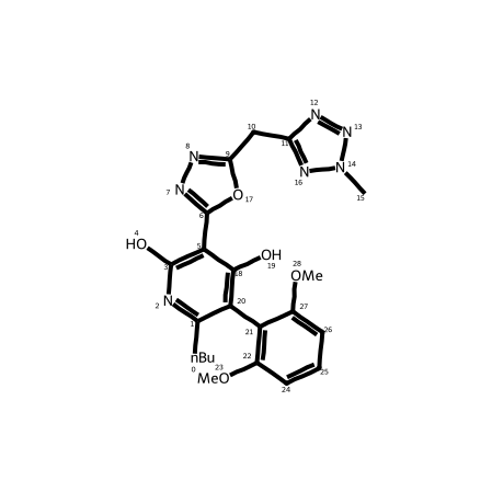 CCCCc1nc(O)c(-c2nnc(Cc3nnn(C)n3)o2)c(O)c1-c1c(OC)cccc1OC